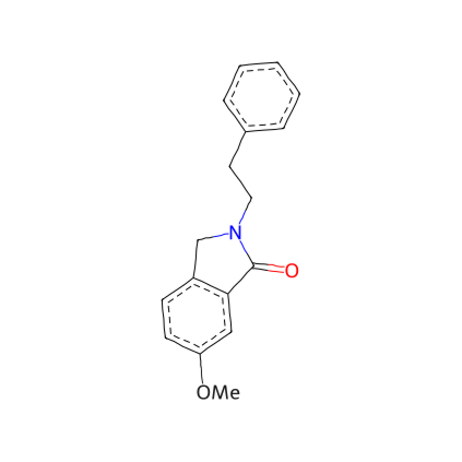 COc1ccc2c(c1)C(=O)N(CCc1ccccc1)C2